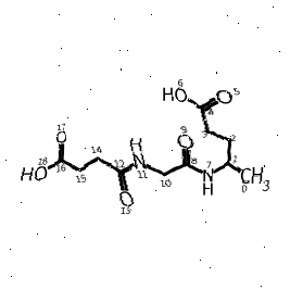 CC(CCC(=O)O)NC(=O)CNC(=O)CCC(=O)O